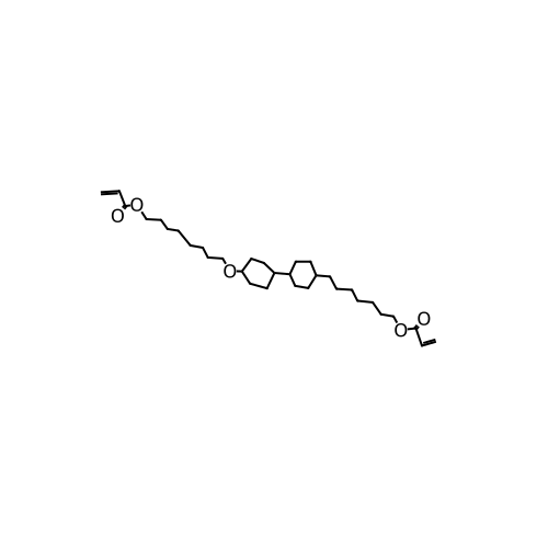 C=CC(=O)OCCCCCCCCOC1CCC(C2CCC(CCCCCCCOC(=O)C=C)CC2)CC1